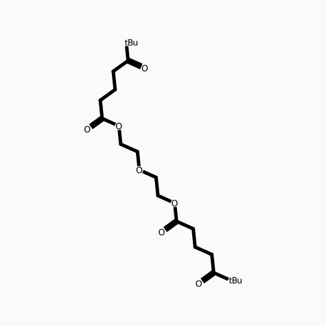 CC(C)(C)C(=O)CCCC(=O)OCCOCCOC(=O)CCCC(=O)C(C)(C)C